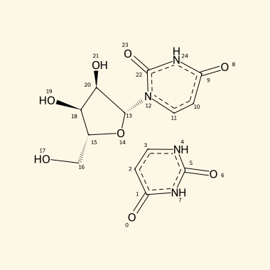 O=c1cc[nH]c(=O)[nH]1.O=c1ccn([C@@H]2O[C@H](CO)[C@@H](O)[C@H]2O)c(=O)[nH]1